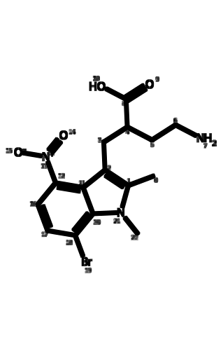 Cc1c(CC(CCN)C(=O)O)c2c([N+](=O)[O-])ccc(Br)c2n1C